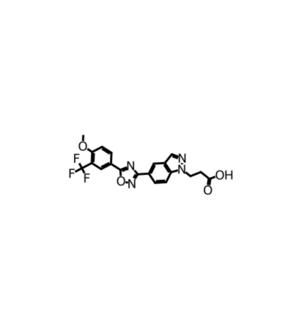 COc1ccc(-c2nc(-c3ccc4c(cnn4CCC(=O)O)c3)no2)cc1C(F)(F)F